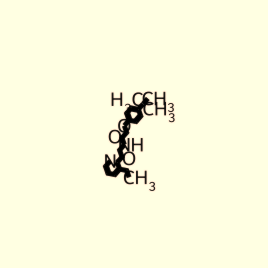 CCc1cccnc1C(=O)CNC(=O)COc1ccc(C(C)(C)C)cc1